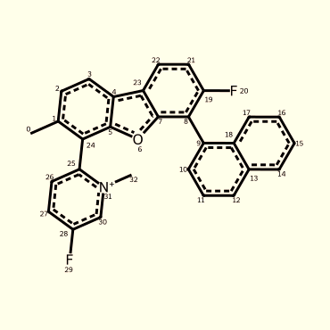 Cc1ccc2c(oc3c(-c4cccc5ccccc45)c(F)ccc32)c1-c1ccc(F)c[n+]1C